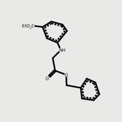 CCOC(=O)c1cccc(NCC(=O)OCc2ccccc2)c1